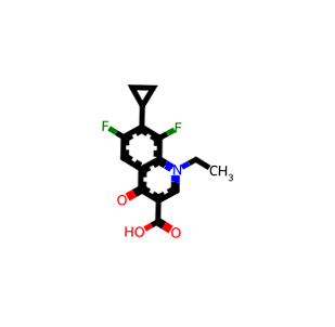 CCn1cc(C(=O)O)c(=O)c2cc(F)c(C3CC3)c(F)c21